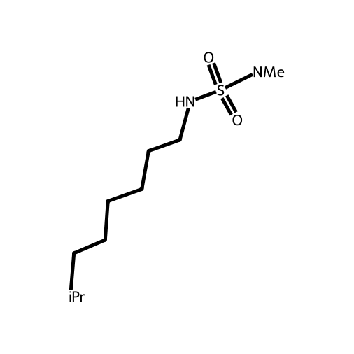 CNS(=O)(=O)NCCCCCCC(C)C